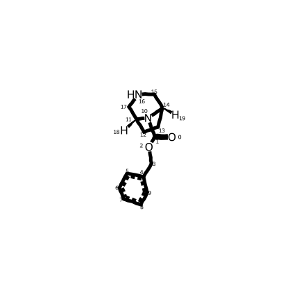 O=C(OCc1ccccc1)N1[C@@H]2CC[C@H]1CNC2